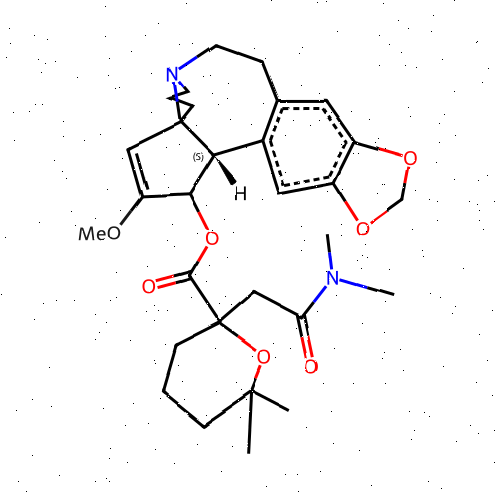 COC1=CC23CCCN2CCc2cc4c(cc2[C@@H]3C1OC(=O)C1(CC(=O)N(C)C)CCCC(C)(C)O1)OCO4